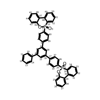 O=P1(c2ccc(-c3cc(-c4ccccc4)cc(-c4ccc(P5(=O)Oc6ccccc6-c6ccccc65)cc4)c3)cc2)Oc2ccccc2-c2ccccc21